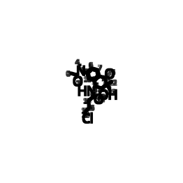 CC(=O)N(C)c1ccc2c(c1)C(NC(=O)CCCCl)C(O)C(C)(C)C2=O